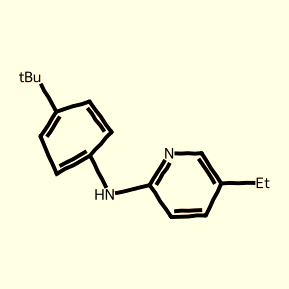 CCc1ccc(Nc2ccc(C(C)(C)C)cc2)nc1